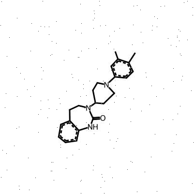 Cc1ccc(N2CCC(N3CCc4ccccc4NC3=O)CC2)cc1C